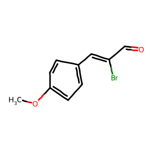 COc1ccc(C=C(Br)C=O)cc1